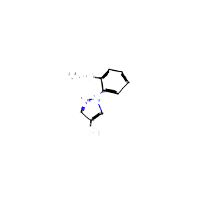 COc1ccccc1-n1cc(C(C)C)cn1